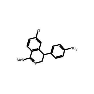 CNC1=NCC(c2ccc([N+](=O)[O-])cc2)c2cc(Cl)ccc21